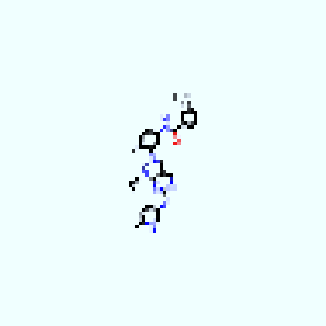 Cc1ccc(Nc2ncc3c(n2)N(C2CC2)CN(c2cc(NC(=O)c4cccc(C(F)(F)F)c4)ccc2C)C3)cn1